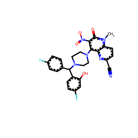 Cn1c(=O)c([N+](=O)[O-])c(N2CCN(C(c3ccc(F)cc3)c3ccc(F)cc3O)CC2)c2nc(C#N)ccc21